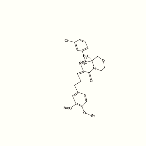 COc1cc(CC/C=C(/N=C/c2cccc(Cl)c2)C(=O)N2CCOCC2(C)C)ccc1OC(C)C